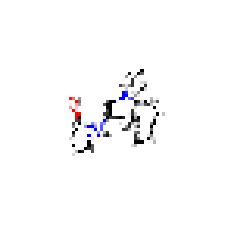 Cn1cc(N2CCCC2=O)c2ccccc21